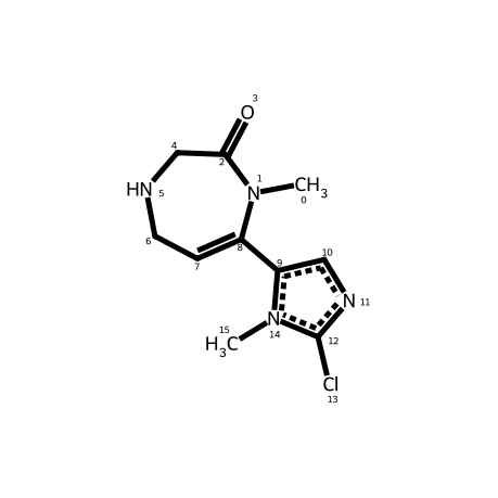 CN1C(=O)CNCC=C1c1cnc(Cl)n1C